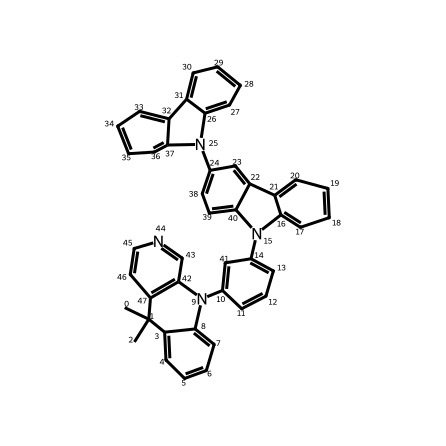 CC1(C)c2ccccc2N(c2cccc(-n3c4ccccc4c4cc(-n5c6ccccc6c6ccccc65)ccc43)c2)c2cnccc21